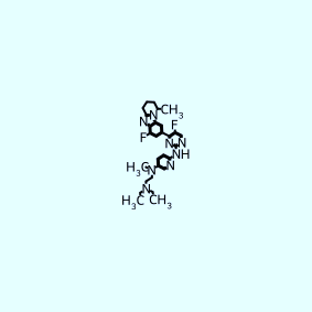 CCN(CC)CCN(C)c1ccc(Nc2ncc(F)c(-c3cc(F)c4nc5n(c4c3)C(C)CCC5)n2)nc1